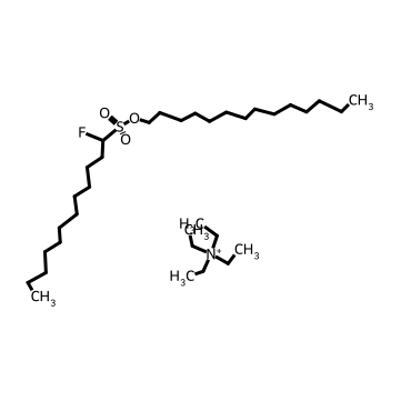 CCCCCCCCCCCCCCOS(=O)(=O)C(F)CCCCCCCCCCC.CC[N+](CC)(CC)CC